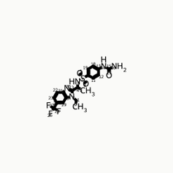 CCn1c(C(C)NS(=O)(=O)c2ccc(NC(N)=O)cc2)nc2ccc(C(F)(F)F)cc21